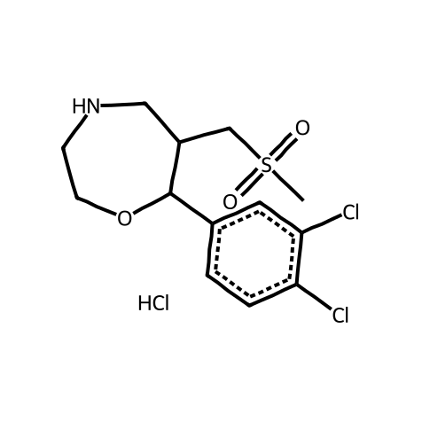 CS(=O)(=O)CC1CNCCOC1c1ccc(Cl)c(Cl)c1.Cl